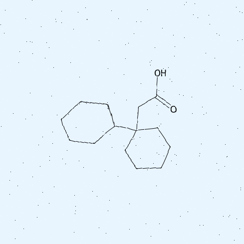 O=C(O)CC1(C2CCCCC2)CCCCC1